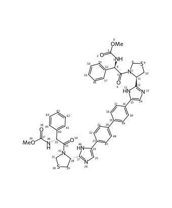 COC(=O)N[C@@H](C(=O)N1CSC[C@H]1c1ncc(-c2ccc(-c3ccc(-c4cnc([C@@H]5CSCN5C(=O)[C@H](NC(=O)OC)c5ccccc5)[nH]4)cc3)cc2)[nH]1)c1ccccc1